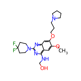 COc1cc2c(NCO)nc(N3CCC(F)(F)CC3)nc2cc1OCCCN1CCCC1